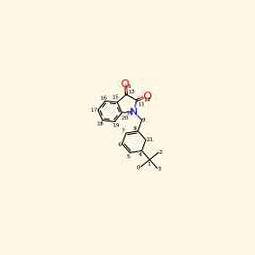 CC(C)(C)C1C=CC=C(CN2C(=O)C(=O)c3ccccc32)C1